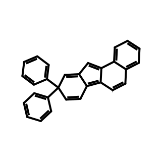 [c]1cc2ccccc2c2c1=C1C=CC(c3ccccc3)(c3ccccc3)C=C1C=2